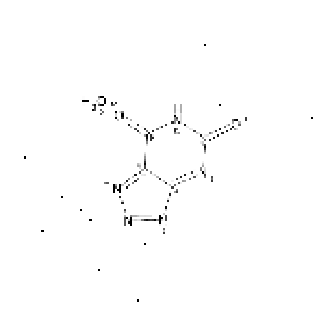 O.O=C1N=C2N=NN=C2C(=O)N1